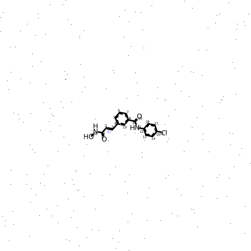 O=C(/C=C/c1cccc(C(=O)Nc2ccc(Cl)cc2)c1)NO